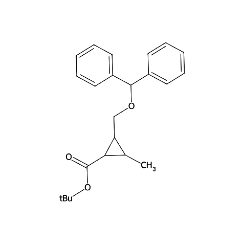 CC1C(COC(c2ccccc2)c2ccccc2)C1C(=O)OC(C)(C)C